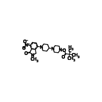 CN1Cc2c(N3CCC(N4CCN(OC(=O)C(C)(C)C)CC4)CC3)ccc([N+](=O)[O-])c2C1=O